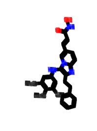 COc1cc(Nc2c(CCc3ccccc3)nc3ccc(C=CC(=O)NO)cn23)cc(OC)c1OC